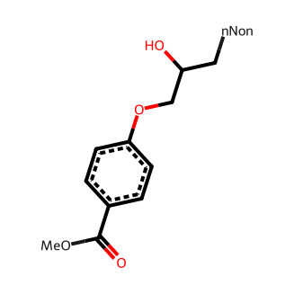 CCCCCCCCCCC(O)COc1ccc(C(=O)OC)cc1